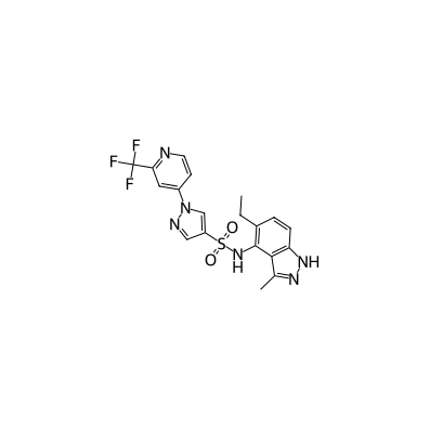 CCc1ccc2[nH]nc(C)c2c1NS(=O)(=O)c1cnn(-c2ccnc(C(F)(F)F)c2)c1